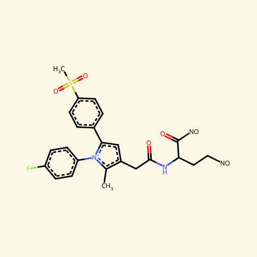 Cc1c(CC(=O)NC(CCN=O)C(=O)N=O)cc(-c2ccc(S(C)(=O)=O)cc2)n1-c1ccc(F)cc1